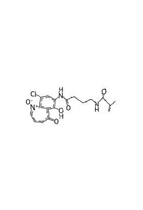 C=C(C)C(=O)NCCCC(=O)Nc1cc(Cl)c2c(c1O)c(=O)ccc[n+]2[O-]